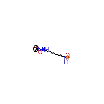 CS(=O)(=O)NCCCCCCCCCCCCNC(=O)NC12CC3CC(CC(C3)C1)C2